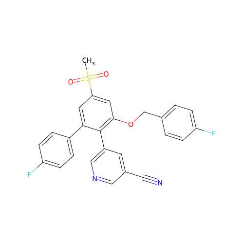 CS(=O)(=O)c1cc(OCc2ccc(F)cc2)c(-c2cncc(C#N)c2)c(-c2ccc(F)cc2)c1